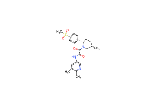 Cc1cc(NC(=O)C(=O)N2C[C@H](C)CC[C@H]2c2ccc(S(C)(=O)=O)cc2)cnc1C